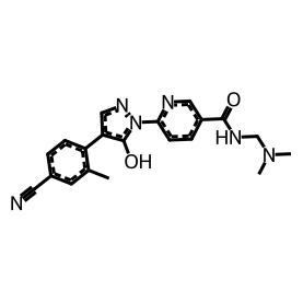 Cc1cc(C#N)ccc1-c1cnn(-c2ccc(C(=O)NCN(C)C)cn2)c1O